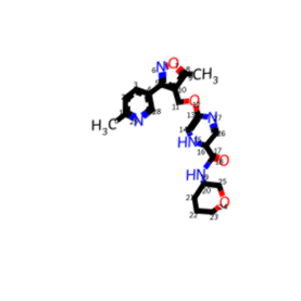 Cc1ccc(-c2noc(C)c2COC2=CNC(C(=O)NC3CCCOC3)C=N2)cn1